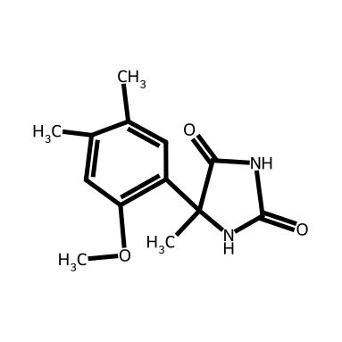 COc1cc(C)c(C)cc1C1(C)NC(=O)NC1=O